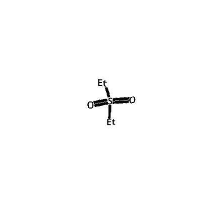 CCS(=O)(=O)CC